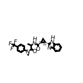 CC(NC(=O)[C@H]1C[C@@H]1c1nc2ccccc2[nH]1)C(=O)N(C)c1ccc(C(F)(F)F)cc1